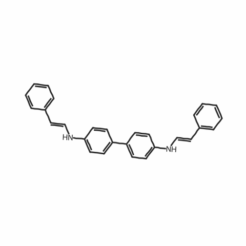 C(=Cc1ccccc1)Nc1ccc(-c2ccc(NC=Cc3ccccc3)cc2)cc1